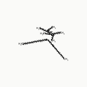 CCCCCCCCCCCCCCCCCCCCCCCCCC[CH2][Ni][CH2]CCCCCCCCCCCCCCCCCCCCCCCCCC.CCCCCCCCc1cc(CCCCC)cc(C2=CC(CCCCC)=C(c3cc(CCCCC)cc(CCCCCCCC)c3)[N+]2=[N-])c1